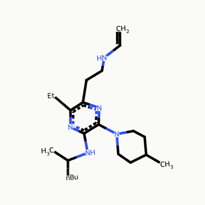 C=CNCCc1nc(N2CCC(C)CC2)c(NC(C)CCCC)nc1CC